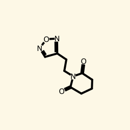 O=C1CCCC(=O)N1CCc1cnon1